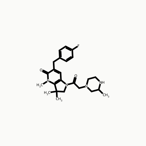 CC1CN(CC(=O)N2CC(C)(C)c3c2cc(Cc2ccc(F)cc2)c(=O)n3C)CCN1